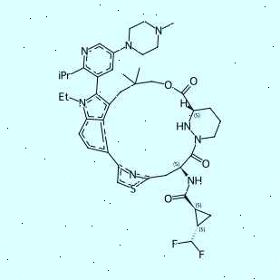 CCn1c(-c2cc(N3CCN(C)CC3)cnc2C(C)C)c2c3cc(ccc31)-c1csc(n1)C[C@H](NC(=O)[C@H]1C[C@@H]1C(F)F)C(=O)N1CCC[C@H](N1)C(=O)OCC(C)(C)C2